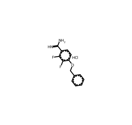 Cl.N=C(N)c1ccc(OCc2ccccc2)c(F)c1F